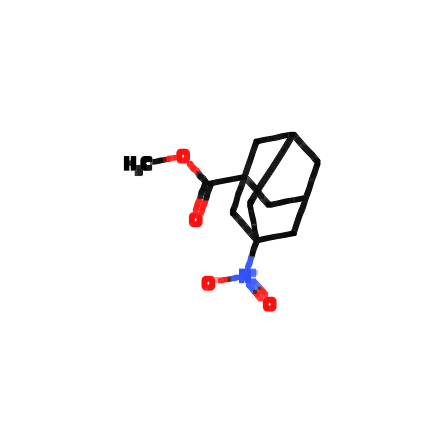 COC(=O)C12CC3CC(C1)CC([N+](=O)[O-])(C3)C2